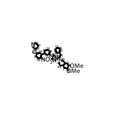 COc1cc2c(cc1OC)CN(C(Cc1ccccc1)N1N=CN(c3cccc(-c4cc(Oc5cccnc5)ccc4[N+](=O)[O-])c3)N1)CC2